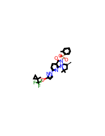 Cc1ccccc1S(=O)(=O)NC(=O)c1ccc(-n2ccc(OCC3(C(F)(F)F)CC3)n2)nc1N1C[C@@H](C)CC1(C)C